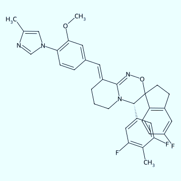 COc1cc(/C=C2\CCCN3C2=NOC2(CCc4cc(F)ccc42)[C@@H]3c2cc(F)c(C)c(F)c2)ccc1-n1cnc(C)c1